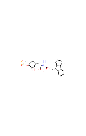 O=C(N[C@@H](Cc1ccc(OS(=O)(=O)F)cc1)C(=O)O)OCC1c2ccccc2-c2ccccc21